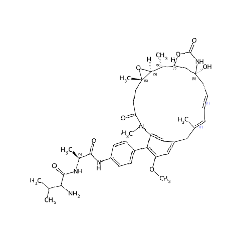 COc1cc2cc(c1-c1ccc(NC(=O)[C@H](C)NC(=O)C(N)C(C)C)cc1)N(C)C(=O)CC[C@]1(C)O[C@H]1[C@H](C)[C@@H]1C[C@](O)(C/C=C/C=C(\C)C2)NC(=O)O1